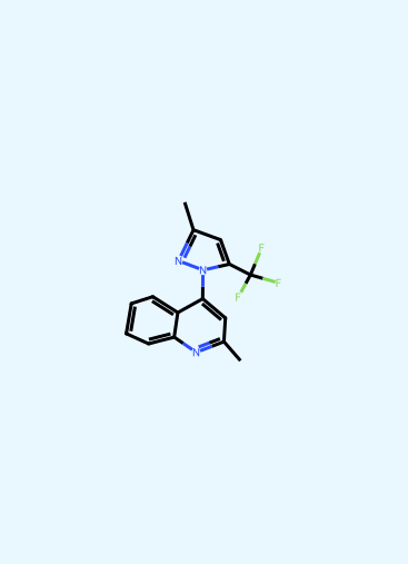 Cc1cc(-n2nc(C)cc2C(F)(F)F)c2ccccc2n1